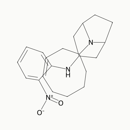 O=[N+]([O-])c1ccccc1NC1CC2CCC(C1)N2C1C/C=C\CCCC1